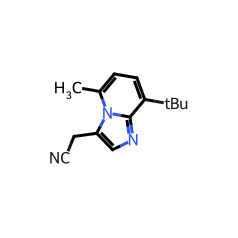 Cc1ccc(C(C)(C)C)c2ncc(CC#N)n12